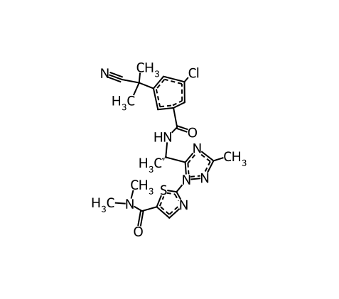 Cc1nc([C@H](C)NC(=O)c2cc(Cl)cc(C(C)(C)C#N)c2)n(-c2ncc(C(=O)N(C)C)s2)n1